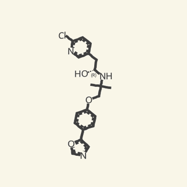 CC(C)(COc1ccc(-c2cnco2)cc1)N[C@H](O)Cc1ccc(Cl)nc1